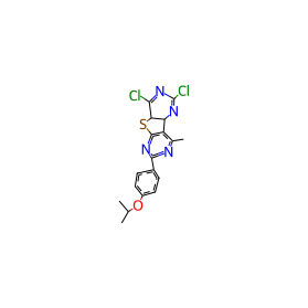 Cc1nc(-c2ccc(OC(C)C)cc2)nc2c1C1N=C(Cl)N=C(Cl)C1S2